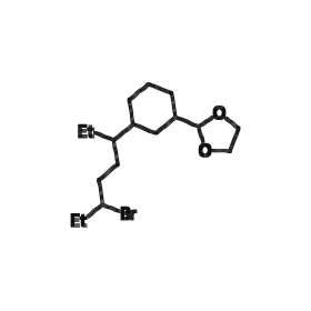 CCC(Br)CCC(CC)C1CCCC(C2OCCO2)C1